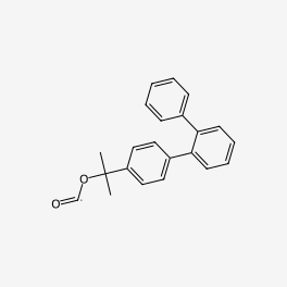 CC(C)(O[C]=O)c1ccc(-c2ccccc2-c2ccccc2)cc1